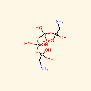 NC[Si](O)(O)O[Si](O)(O)O[Si](O)(O)O[Si](O)(O)CN